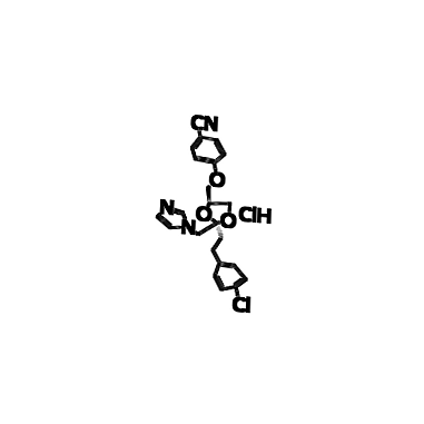 Cl.N#Cc1ccc(OC[C@H]2CO[C@@](CCc3ccc(Cl)cc3)(Cn3ccnc3)O2)cc1